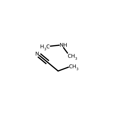 CCC#N.CNC